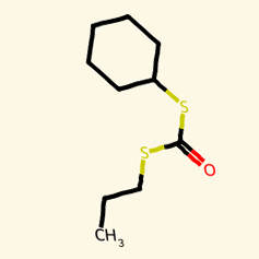 CCCSC(=O)SC1CCCCC1